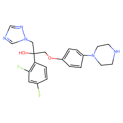 OC(COc1ccc(N2CCNCC2)cc1)(Cn1cncn1)c1ccc(F)cc1F